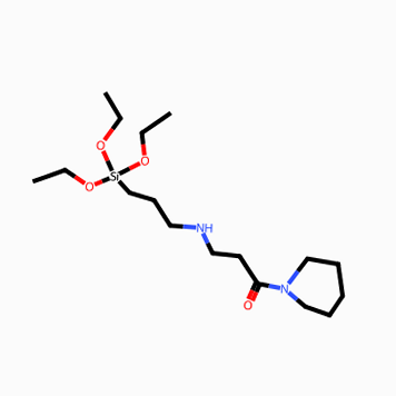 CCO[Si](CCCNCCC(=O)N1CCCCC1)(OCC)OCC